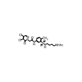 CC(=O)NCCCCNS(=O)(=O)c1cc(NC(=O)Cn2ncc(Cl)c(Cl)c2=O)ccc1C